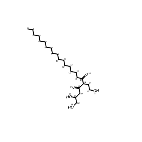 CCCCCCCCCCCCCCCCCC(=O)C(CCO)C(=O)CC(O)CO